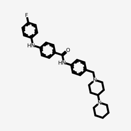 O=C(Nc1ccc(CN2CCC(N3CCCCC3)CC2)cc1)c1ccc(Nc2ccc(F)cc2)cc1